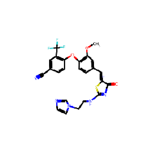 COc1cc(/C=C2\SC(NCCn3ccnc3)=NC2=O)ccc1Oc1ccc(C#N)cc1C(F)(F)F